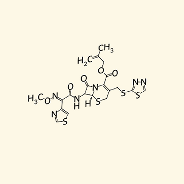 C=C(C)COC(=O)C1=C(CSc2nncs2)CS[C@@H]2C(NC(=O)/C(=N/OC)c3cscn3)C(=O)N12